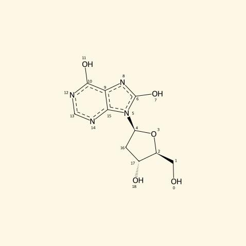 OC[C@@H]1O[C@H](n2c(O)nc3c(O)ncnc32)C[C@H]1O